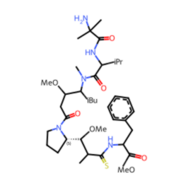 CCC(C)C(C(CC(=O)N1CCC[C@H]1C(OC)C(C)C(=S)NC(Cc1ccccc1)C(=O)OC)OC)N(C)C(=O)C(NC(=O)C(C)(C)N)C(C)C